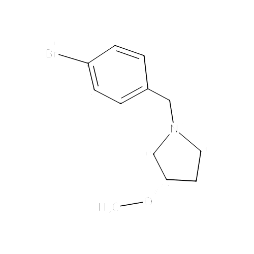 CO[C@H]1CCN(Cc2ccc(Br)cc2)C1